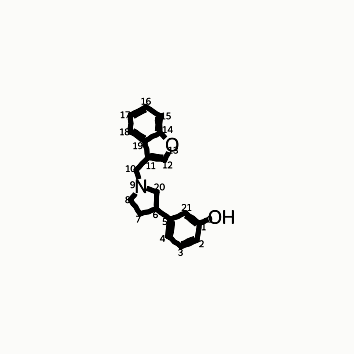 Oc1cccc(C2CCN(Cc3coc4ccccc34)C2)c1